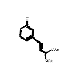 CC(=O)OC(C=Cc1cccc(F)c1)OC(C)=O